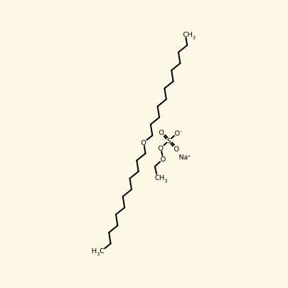 CCCCCCCCCCCCOCCCCCCCCCCCC.CCOOS(=O)(=O)[O-].[Na+]